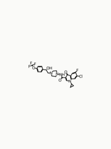 O=C(NN1CCN(CC(O)c2ccc(OC(F)(F)F)cc2)CC1)c1cn(C2CC2)c2cc(Cl)c(F)cc2c1=O